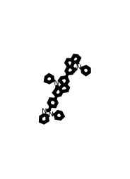 c1ccc(-n2c(-c3ccc(-c4cc5ccc6cc(-c7cc8ccc9cccc%10c9c8c(c7)n%10-c7ccccc7)cc7c6c5c(c4)n7-c4ccccc4)cc3)nc3ccccc32)cc1